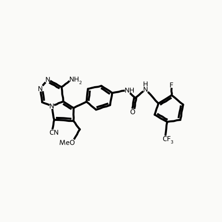 COCc1c(-c2ccc(NC(=O)Nc3cc(C(F)(F)F)ccc3F)cc2)c2c(N)nncn2c1C#N